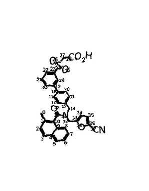 Cc1ccc2ccccc2c1C(=O)N(Cc1ccc(-c2cccc(S(=O)(=O)CC(=O)O)c2)cc1)Cc1ccc(C#N)o1